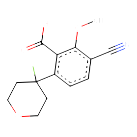 COc1c(C#N)ccc(C2(F)CCOCC2)c1C(=O)O